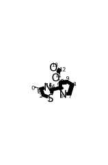 C[C@H]1CSC(c2ncccc2OC=O)=N1